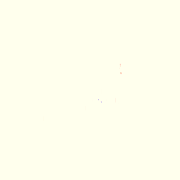 CNC.O=S(=O)(O)CC(F)C(F)C(F)C(F)C(F)CCCCCCF